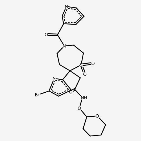 O=C(CC1(c2ccc(Br)s2)CCN(C(=O)c2cccnc2)CCS1(=O)=O)NOC1CCCCO1